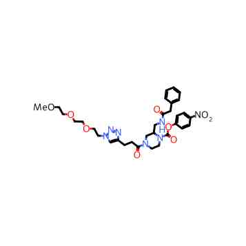 COCCOCCOCCn1cc(CCC(=O)N2CCN(C(=O)Oc3ccc([N+](=O)[O-])cc3)C(CNC(=O)Cc3ccccc3)C2)nn1